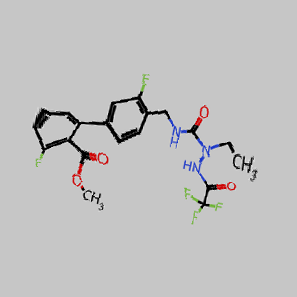 CCN(NC(=O)C(F)(F)F)C(=O)NCc1ccc(-c2cccc(F)c2C(=O)OC)cc1F